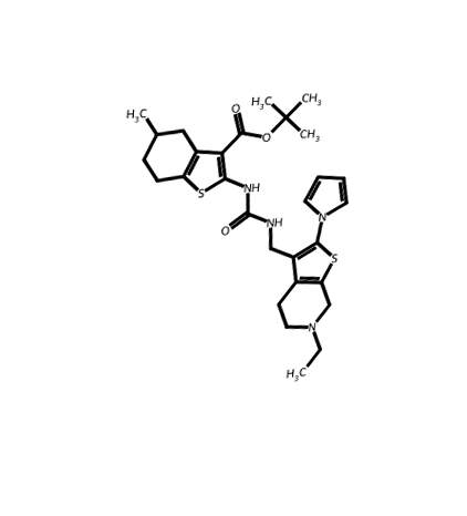 CCN1CCc2c(sc(-n3cccc3)c2CNC(=O)Nc2sc3c(c2C(=O)OC(C)(C)C)CC(C)CC3)C1